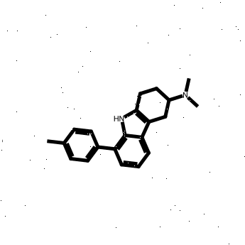 Cc1ccc(-c2cccc3c4c([nH]c23)CCC(N(C)C)C4)cc1